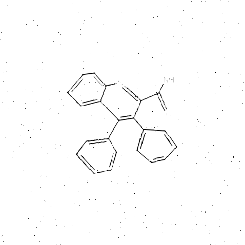 NC(=O)c1nc2ccccc2c(-c2ccccc2)c1-c1ccccc1